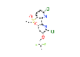 CCS(=O)(=O)c1ccc(Cl)nc1-c1ccc(OCC(C)(F)F)c(Cl)n1